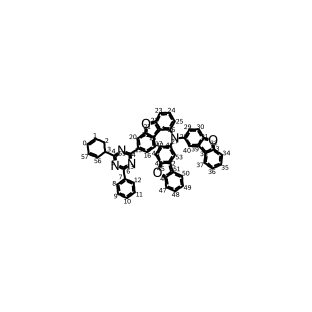 C1=CCC(c2nc(-c3ccccc3)nc(-c3ccc4c(c3)oc3cccc(N(c5ccc6oc7ccccc7c6c5)c5ccc6oc7ccccc7c6c5)c34)n2)C=C1